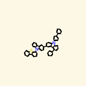 c1ccc(-c2ccc(-n3c4ccc(-c5ccc6c(c5)c5ccccc5n6-c5cccc6c5sc5ccccc56)cc4c4c(-c5ccccc5)cccc43)cc2)cc1